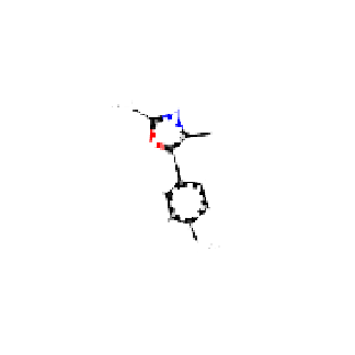 CCOC(=O)c1nc(SC)oc1-c1ccc(OC)cc1